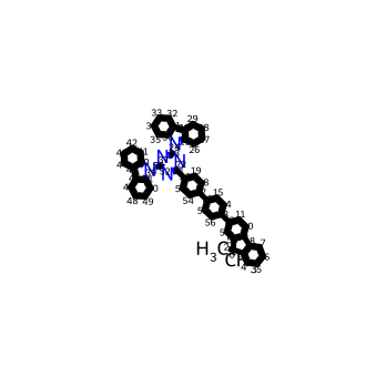 CC1(C)c2ccccc2-c2ccc(-c3ccc(-c4ccc(-c5nc(-n6c7ccccc7c7ccccc76)nc(-n6c7ccccc7c7ccccc76)n5)cc4)cc3)cc21